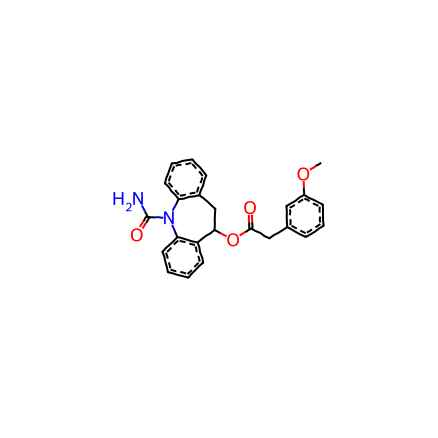 COc1cccc(CC(=O)OC2Cc3ccccc3N(C(N)=O)c3ccccc32)c1